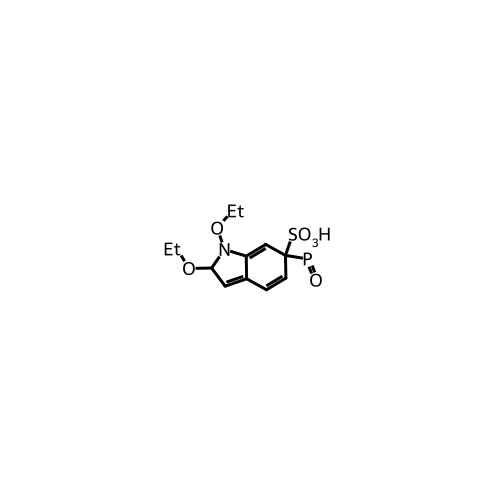 CCOC1C=C2C=CC(P=O)(S(=O)(=O)O)C=C2N1OCC